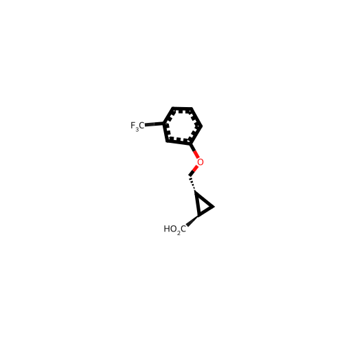 O=C(O)[C@@H]1C[C@H]1COc1cccc(C(F)(F)F)c1